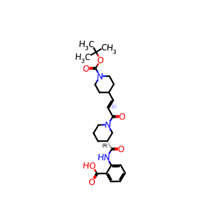 CC(C)(C)OC(=O)N1CCC(/C=C/C(=O)N2CCC[C@@H](C(=O)Nc3ccccc3C(=O)O)C2)CC1